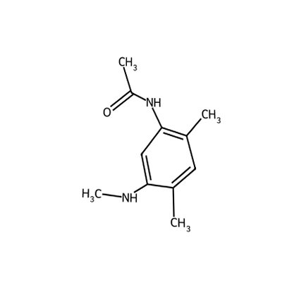 CNc1cc(NC(C)=O)c(C)cc1C